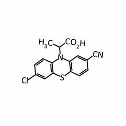 CC(C(=O)O)N1c2ccc(Cl)cc2Sc2ccc(C#N)cc21